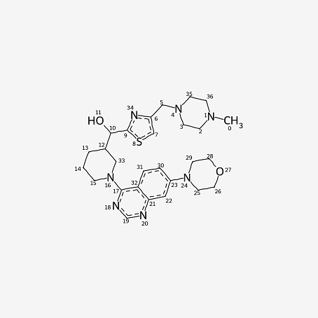 CN1CCN(Cc2csc(C(O)C3CCCN(c4ncnc5cc(N6CCOCC6)ccc45)C3)n2)CC1